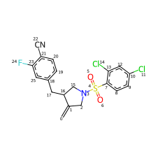 C=C1CN(S(=O)(=O)c2ccc(Cl)cc2Cl)CC1Cc1ccc(C#N)c(F)c1